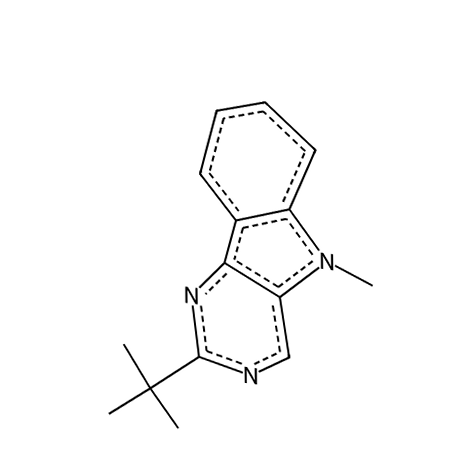 Cn1c2ccccc2c2nc(C(C)(C)C)ncc21